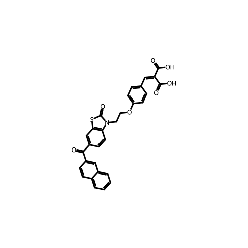 O=C(O)C(=Cc1ccc(OCCn2c(=O)sc3cc(C(=O)c4ccc5ccccc5c4)ccc32)cc1)C(=O)O